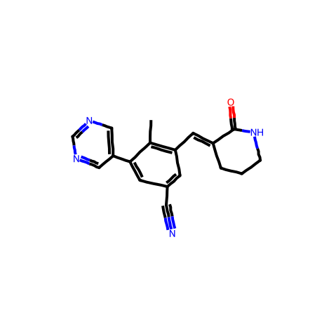 Cc1c(/C=C2\CCCNC2=O)cc(C#N)cc1-c1cncnc1